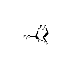 C=C(F)C(F)(F)F.F/C=C/C(F)(F)F